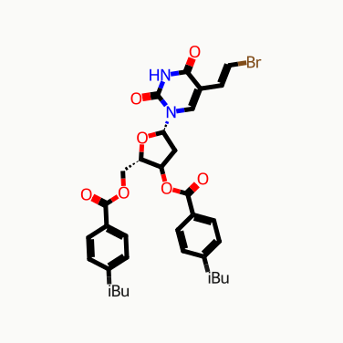 CCC(C)c1ccc(C(=O)OC[C@@H]2O[C@H](n3cc(/C=C/Br)c(=O)[nH]c3=O)CC2OC(=O)c2ccc(C(C)CC)cc2)cc1